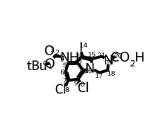 CC(C)(C)OC(=O)Nc1cc(Cl)c(Cl)c2c1c(I)c1n2CCN(C(=O)O)C1